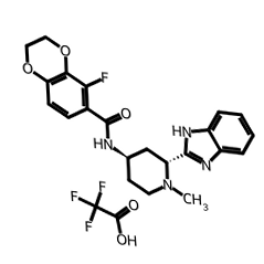 CN1CC[C@@H](NC(=O)c2ccc3c(c2F)OCCO3)C[C@@H]1c1nc2ccccc2[nH]1.O=C(O)C(F)(F)F